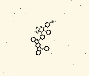 CC(C)(C)c1ccc([C@@H](N)[C@@H](c2ccccc2)C(N)c2cccc(-n3c4ccccc4c4cc5c6ccccc6n(-c6ccccc6)c5cc43)c2)cc1